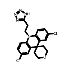 Clc1ccc2c(c1)C1(CCOCC1)c1cc(Cl)ccc1N2CCc1nnn[nH]1